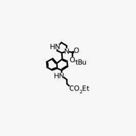 CCOC(=O)CCNc1ccc(C2CNCCN2C(=O)OC(C)(C)C)c2ccccc12